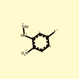 CC(=O)ONc1cc(F)ccc1[N+](=O)[O-]